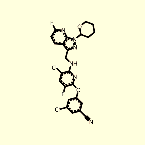 N#Cc1cc(Cl)cc(Oc2nc(NCc3nn(C4CCCCO4)c4nc(F)ccc34)c(Cl)cc2F)c1